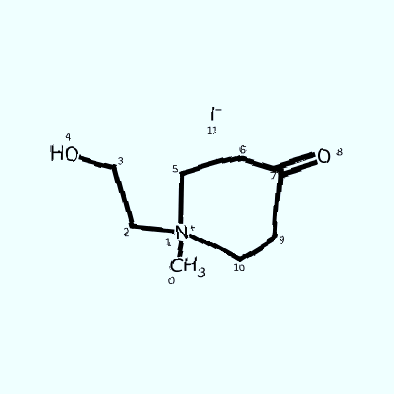 C[N+]1(CCO)CCC(=O)CC1.[I-]